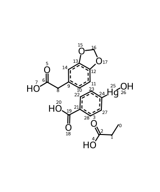 CCC(=O)O.O=C(O)Cc1ccc2c(c1)OCO2.O=C(O)c1cc[c]([Hg][OH])cc1